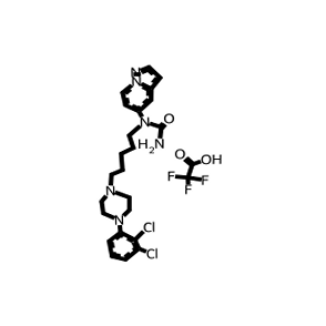 NC(=O)N(CCCCCN1CCN(c2cccc(Cl)c2Cl)CC1)c1ccn2nccc2c1.O=C(O)C(F)(F)F